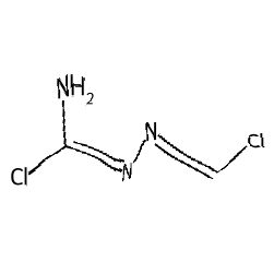 N/C(Cl)=N\N=C\Cl